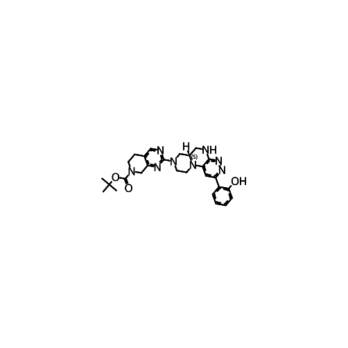 CC(C)(C)OC(=O)N1CCc2cnc(N3CCN4c5cc(-c6ccccc6O)nnc5NC[C@H]4C3)nc2C1